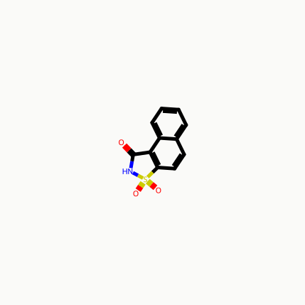 O=C1NS(=O)(=O)c2ccc3ccccc3c21